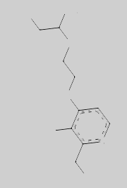 CCC(C)OCCOc1ccnc(CCl)c1C